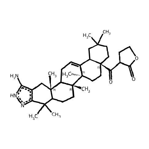 CC1(C)CC[C@]2(C(=O)C3CCOC3=O)CC[C@]3(C)C(=CCC4[C@@]5(C)Cc6c(n[nH]c6N)C(C)(C)C5CC[C@]43C)C2C1